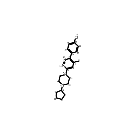 Cc1cc(N2CCN(C3CCCC3)CC2)nnc1-c1ccc(Cl)cc1